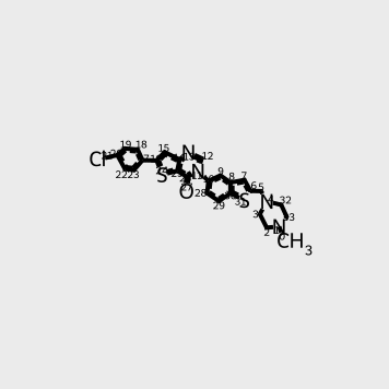 CN1CCN(Cc2cc3cc(-n4cnc5cc(-c6ccc(Cl)cc6)sc5c4=O)ccc3s2)CC1